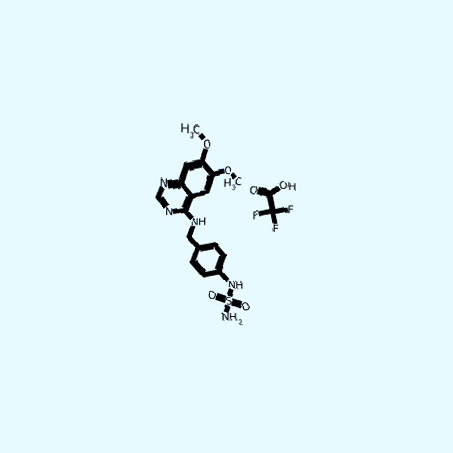 COc1cc2ncnc(NCc3ccc(NS(N)(=O)=O)cc3)c2cc1OC.O=C(O)C(F)(F)F